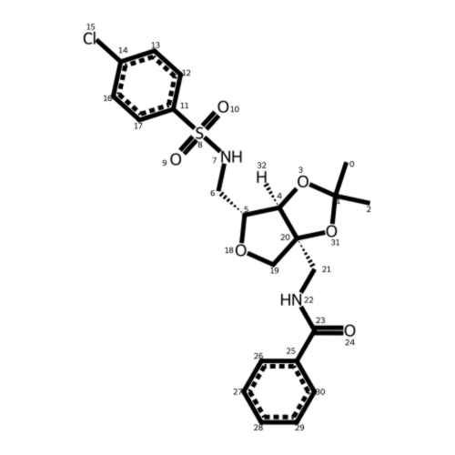 CC1(C)O[C@@H]2[C@@H](CNS(=O)(=O)c3ccc(Cl)cc3)OC[C@]2(CNC(=O)c2ccccc2)O1